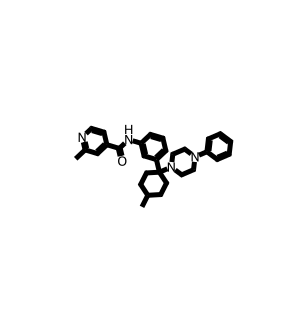 Cc1cc(C(=O)Nc2cccc(C3(N4CCN(c5ccccc5)CC4)CCC(C)CC3)c2)ccn1